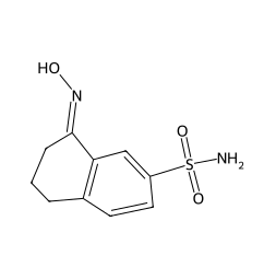 NS(=O)(=O)c1ccc2c(c1)/C(=N/O)CCC2